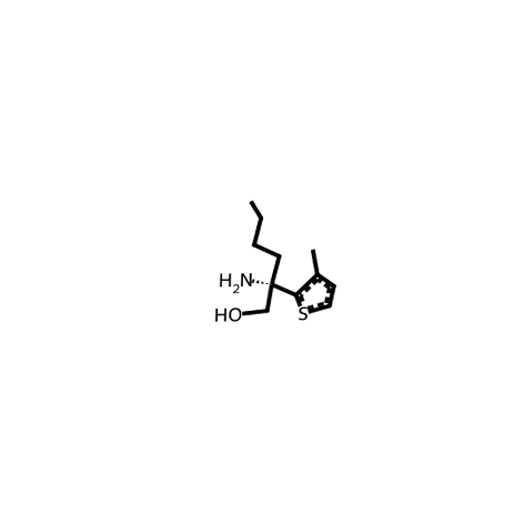 CCCC[C@](N)(CO)c1sccc1C